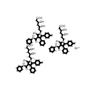 CC(C)c1c(C(=O)Nc2ccccc2)c(-c2ccccc2)c(-c2ccc(F)cc2)n1CC[C@@H](O)C[C@@H](O)CC(=O)[O-].CC(C)c1c(C(=O)Nc2ccccc2)c(-c2ccccc2)c(-c2ccc(F)cc2)n1CC[C@@H](O)C[C@@H](O)CC(=O)[O-].CC(C)c1c(C(=O)Nc2ccccc2)c(-c2ccccc2)c(-c2ccc(F)cc2)n1CC[C@@H](O)C[C@@H](O)CC(=O)[O-].[Fe+3]